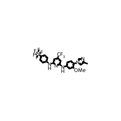 COc1cc(Nc2cc(C(F)(F)F)cc(Nc3ccc(S(F)(F)(F)(F)F)cc3)n2)ccc1-n1cnc(C)c1